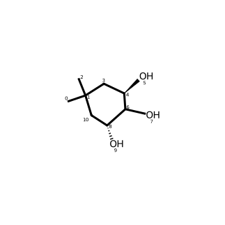 CC1(C)C[C@@H](O)C(O)[C@H](O)C1